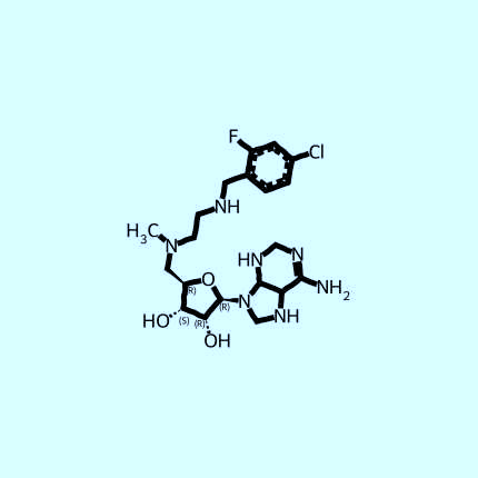 CN(CCNCc1ccc(Cl)cc1F)C[C@H]1O[C@@H](N2CNC3C(N)=NCNC32)[C@H](O)[C@@H]1O